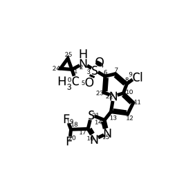 CC1(NS(=O)(=O)c2cc(Cl)c3ccc(-c4nnc(C(F)F)s4)n3c2)CC1